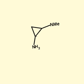 CNC1C[C]1N